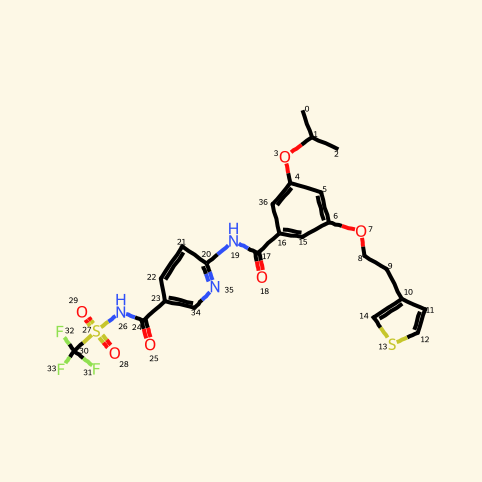 CC(C)Oc1cc(OCCc2ccsc2)cc(C(=O)Nc2ccc(C(=O)NS(=O)(=O)C(F)(F)F)cn2)c1